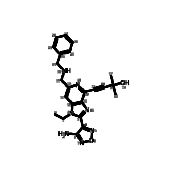 CCn1c(-c2nonc2N)nc2c(C#CC(C)(C)O)nc(CNCc3ccccc3)cc21